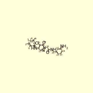 C[C@@H]1[C@@H](C)C(C)(C)[C@@H](C)C[C@H]1Nc1cnn(CC(=O)NCc2cccc(N)c2)c(=O)c1Cl